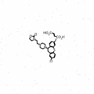 O=C(O)C=CC(=O)O.O=C1OCCN1CCN1CCN(C2Cc3cc(Cl)ccc3Sc3cc(F)ccc32)CC1